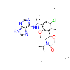 COc1c(C(C)Nc2ncnc3[nH]cnc23)cc(Cl)c(C)c1C1CN(C(C)C)C(=O)CO1